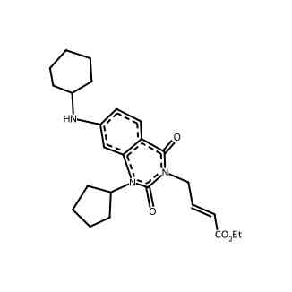 CCOC(=O)/C=C/Cn1c(=O)c2ccc(NC3CCCCC3)cc2n(C2CCCC2)c1=O